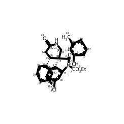 CCOC(=O)N1C(=O)[C@]2(c3ccc(Cl)cc31)[C@@H](c1c(C)cccc1C)NC(=O)C[C@H]2c1cccc(Cl)c1